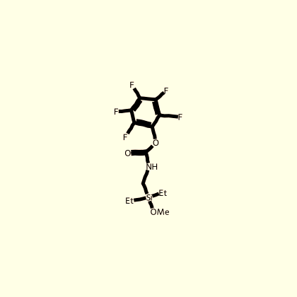 CC[Si](CC)(CNC(=O)Oc1c(F)c(F)c(F)c(F)c1F)OC